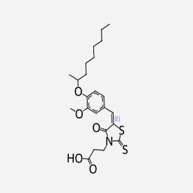 CCCCCCCC(C)Oc1ccc(/C=C2/SC(=S)N(CCC(=O)O)C2=O)cc1OC